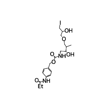 CCC(=O)Nc1ccc(COC(=O)NCC(O)C(C)COCC(O)CI)cc1